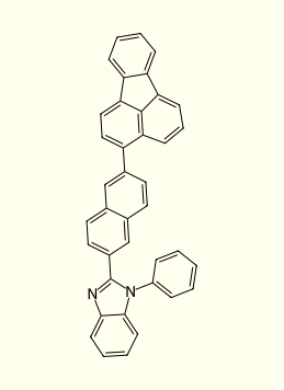 c1ccc(-n2c(-c3ccc4cc(-c5ccc6c7c(cccc57)-c5ccccc5-6)ccc4c3)nc3ccccc32)cc1